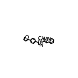 Cn1c(-c2ccc(-c3ccco3)cc2)cnc1[C@@H](N)Cc1ccccn1